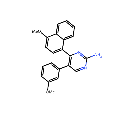 COc1cccc(-c2cnc(N)nc2-c2ccc(OC)c3ccccc23)c1